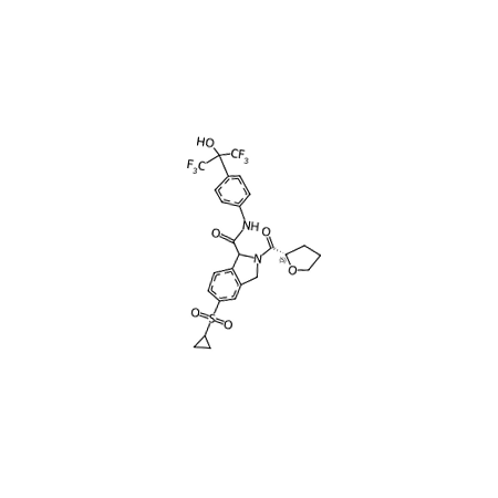 O=C(Nc1ccc(C(O)(C(F)(F)F)C(F)(F)F)cc1)C1c2ccc(S(=O)(=O)C3CC3)cc2CN1C(=O)[C@@H]1CCCO1